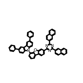 c1ccc(-c2ccc3c(c2)c2cc(-c4ccccc4)ccc2n3-c2cccc3c2oc2cc(-c4nc(-c5ccc6ccccc6c5)nc(-c5ccc6ccccc6c5)n4)ccc23)cc1